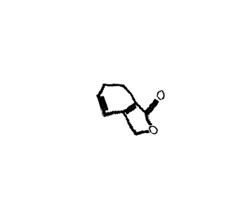 O=C1OCC2=C1CCC=C2